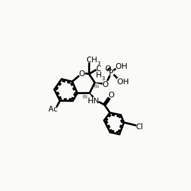 CC(=O)c1ccc2c(c1)[C@H](NC(=O)c1cccc(Cl)c1)[C@H](OP(=O)(O)O)C(C)(C)O2